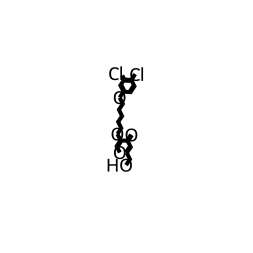 O=c1cc(CO)occ1OCCCCCOc1ccc(Cl)c(Cl)c1